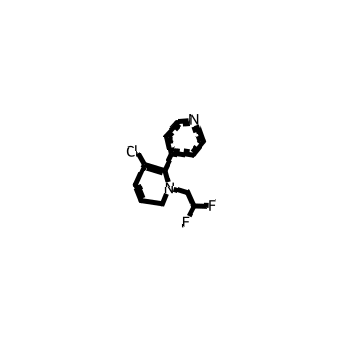 FC(F)CN1CC=CC(Cl)=C1c1ccncc1